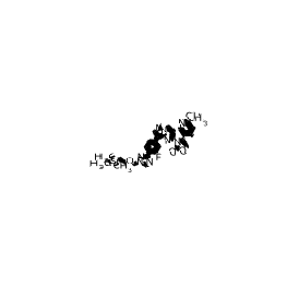 Cc1ccc([C@@H]2COC(=O)N2c2ccn3ncc(-c4ccc(-c5ncn(COCC[Si](C)(C)C)n5)c(F)c4)c3n2)cn1